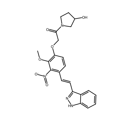 COc1c(OCC(=O)N2CCC(O)C2)ccc(C=Cc2n[nH]c3ccccc23)c1[N+](=O)[O-]